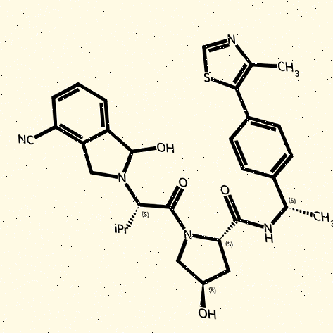 Cc1ncsc1-c1ccc([C@H](C)NC(=O)[C@@H]2C[C@@H](O)CN2C(=O)[C@H](C(C)C)N2Cc3c(C#N)cccc3C2O)cc1